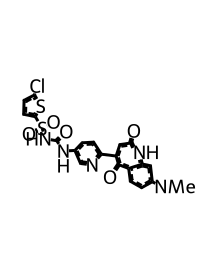 CNc1ccc2c(=O)c(-c3ccc(NC(=O)NS(=O)(=O)c4ccc(Cl)s4)cn3)cc(=O)[nH]c2c1